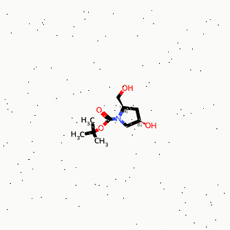 CC(C)(C)OC(=O)N1C[C@@H](O)C[C@@H]1CO